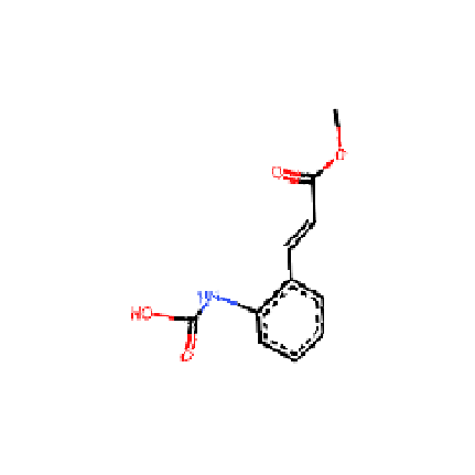 COC(=O)C=Cc1ccccc1NC(=O)O